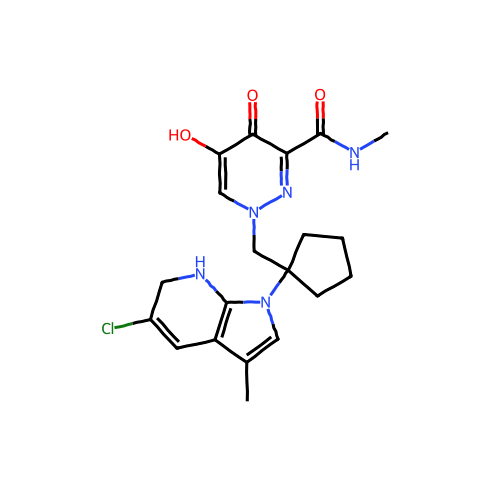 CNC(=O)c1nn(CC2(n3cc(C)c4c3NCC(Cl)=C4)CCCC2)cc(O)c1=O